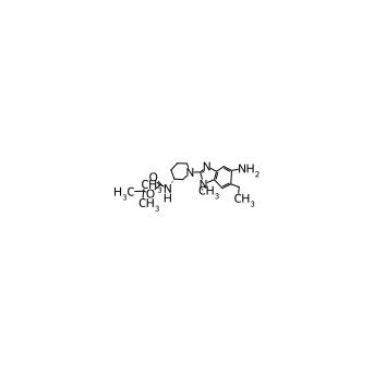 CCc1cc2c(cc1N)nc(N1CCC[C@@H](NC(=O)OC(C)(C)C)C1)n2C